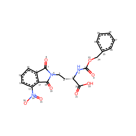 O=C(N[C@@H](CCN1C(=O)c2cccc([N+](=O)[O-])c2C1=O)C(=O)O)OCc1ccccc1